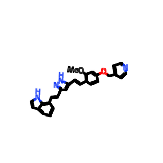 COc1cc(OCc2ccncc2)ccc1C=Cc1cc(C=Cc2cccc3cc[nH]c23)n[nH]1